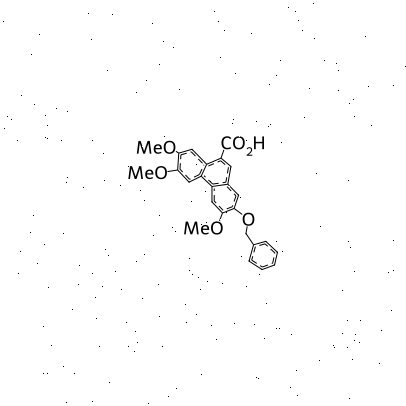 COc1cc2c(C(=O)O)cc3cc(OCc4ccccc4)c(OC)cc3c2cc1OC